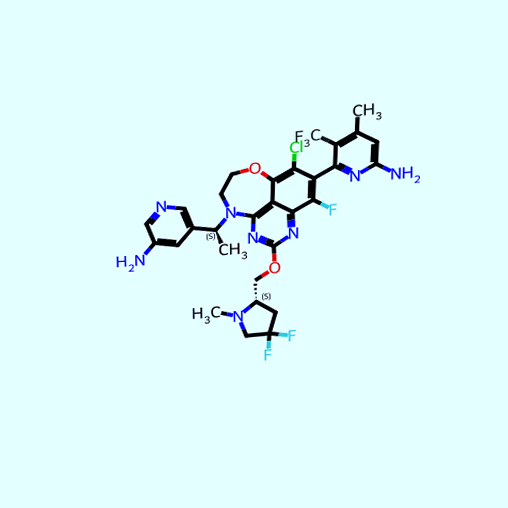 Cc1cc(N)nc(-c2c(Cl)c3c4c(nc(OC[C@@H]5CC(F)(F)CN5C)nc4c2F)N([C@@H](C)c2cncc(N)c2)CCO3)c1C(F)(F)F